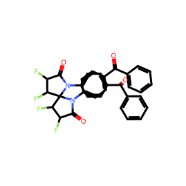 O=C(c1ccccc1)c1ccc(N2C(=O)C(F)C(F)C23C(F)C(F)C(=O)N3c2ccc(C(=O)c3ccccc3)cc2)cc1